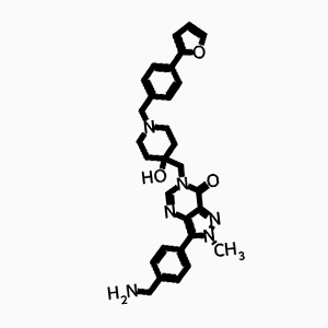 Cn1nc2c(=O)n(CC3(O)CCN(Cc4ccc(-c5ccco5)cc4)CC3)cnc2c1-c1ccc(CN)cc1